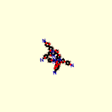 N#Cc1ccc(-c2ccc3c(c2)c2cc(-c4ccc(C#N)cc4)ccc2n3-c2ccc(-c3cccc(-n4c5ccc(-c6ccc(C#N)cc6)cc5c5cc(-c6ccc(C#N)cc6)ccc54)c3C#N)cc2-c2nc(-c3ccccc3)nc(-c3ccccc3)n2)cc1